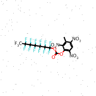 Cc1c([N+](=O)[O-])cc([N+](=O)[O-])c(OC(=O)OC(F)(F)C(F)(F)C(F)(F)C(F)(F)C(F)(F)C(F)(F)C(F)(F)F)c1[N+](=O)[O-]